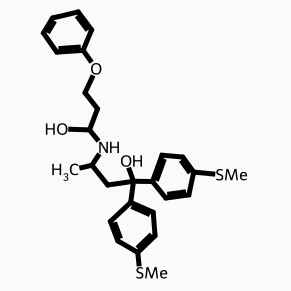 CSc1ccc(C(O)(CC(C)NC(O)CCOc2ccccc2)c2ccc(SC)cc2)cc1